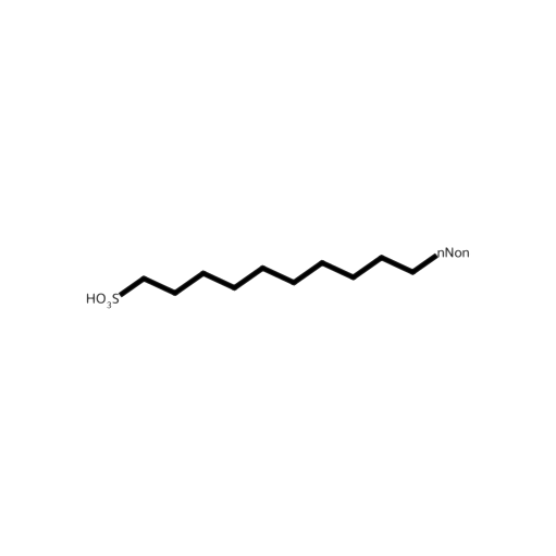 CCCCCCCCCCCCCCCCCCCS(=O)(=O)O